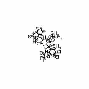 CN(CC(CCN1CCC2(CC1)NC(=O)Cc1ccccc12)(c1ccc(Cl)c(Cl)c1)N(C)C(=O)OC(C)(C)C)C(=O)C(F)(F)F